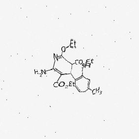 CCOC(=O)C1=C(N)N=C(OCC)C(C(=O)OCC)C1c1ccc(C)cc1S